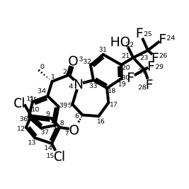 C[C@H](C(=O)N1C[C@@H](Oc2cc(Cl)ccc2Cl)CCc2cc(C(O)(C(F)(F)F)C(F)(F)F)ccc21)c1ccccc1